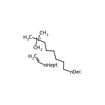 C=CCCCCCCC.CCCCCCCCCCCCCCCC[N+](C)(C)C